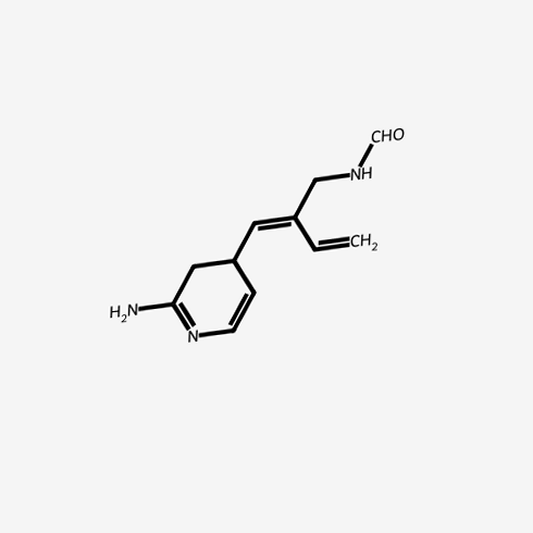 C=C/C(=C\C1C=CN=C(N)C1)CNC=O